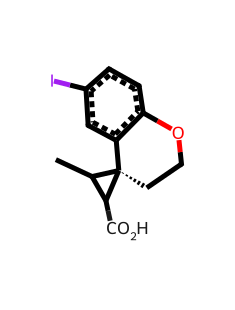 CC1C(C(=O)O)[C@@]12CCOc1ccc(I)cc12